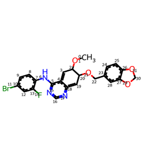 COC1C=c2c(Nc3ccc(Br)cc3F)ncnc2=CC1OCc1ccc2c(c1)OCO2